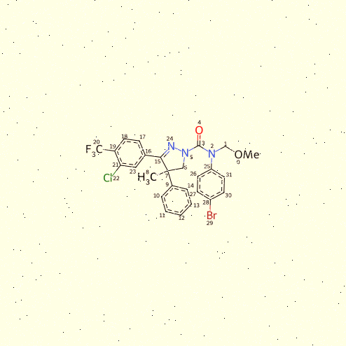 COCN(C(=O)N1CC(C)(c2ccccc2)C(c2ccc(C(F)(F)F)c(Cl)c2)=N1)c1ccc(Br)cc1